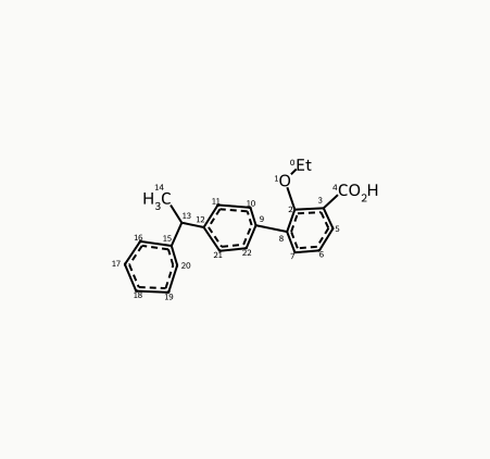 CCOc1c(C(=O)O)cccc1-c1ccc(C(C)c2ccccc2)cc1